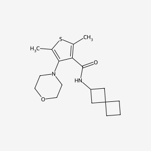 Cc1sc(C)c(N2CCOCC2)c1C(=O)NC1CC2(CCC2)C1